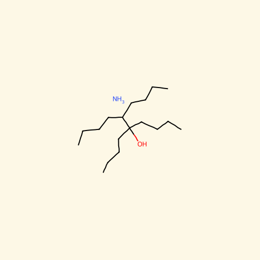 CCCCC(CCCC)C(O)(CCCC)CCCC.N